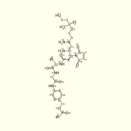 CCC(C)(CCO)OCCN(N)/C=C(\N)[C@H](CC(=O)NC(C(=O)NCC(=O)Nc1ccc(COC(=O)C(C)C)cc1)C(C)C)N1C(=O)C=CC1=O